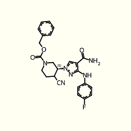 N#CC1CCN(C(=O)OCc2ccccc2)C[C@H]1n1cc(C(N)=O)c(Nc2ccc(F)cc2)n1